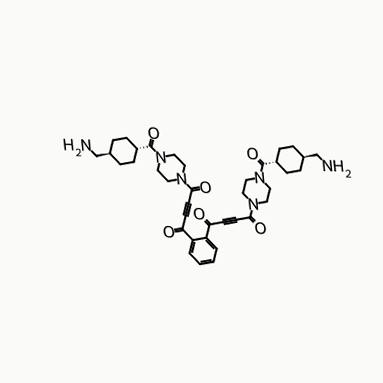 NC[C@H]1CC[C@H](C(=O)N2CCN(C(=O)C#CC(=O)c3ccccc3C(=O)C#CC(=O)N3CCN(C(=O)[C@H]4CC[C@H](CN)CC4)CC3)CC2)CC1